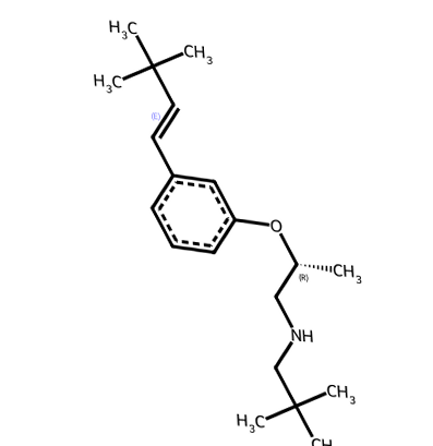 C[C@H](CNCC(C)(C)C)Oc1cccc(/C=C/C(C)(C)C)c1